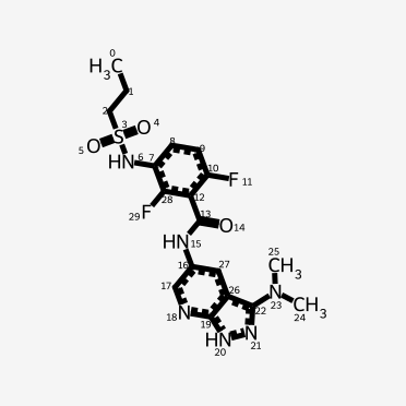 CCCS(=O)(=O)Nc1ccc(F)c(C(=O)Nc2cnc3[nH]nc(N(C)C)c3c2)c1F